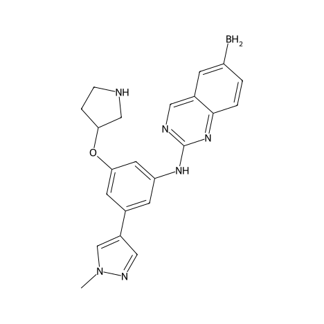 Bc1ccc2nc(Nc3cc(OC4CCNC4)cc(-c4cnn(C)c4)c3)ncc2c1